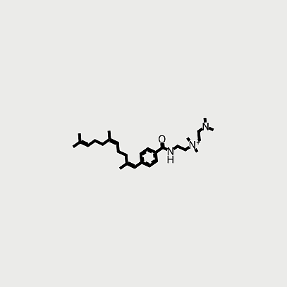 CC(C)=CCCC(C)=CCCC(C)=Cc1ccc(C(=O)NCC[N+](C)(C)CCN(C)C)cc1